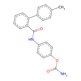 Cc1ccc(-c2ccccc2C(=O)Nc2ccc(OC(N)=O)cc2)cc1